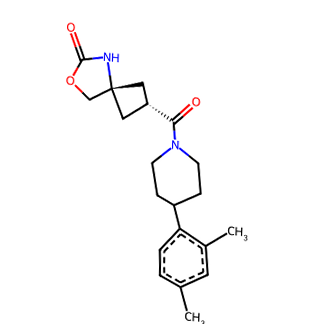 Cc1ccc(C2CCN(C(=O)[C@H]3C[C@]4(COC(=O)N4)C3)CC2)c(C)c1